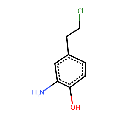 Nc1cc(CCCl)ccc1O